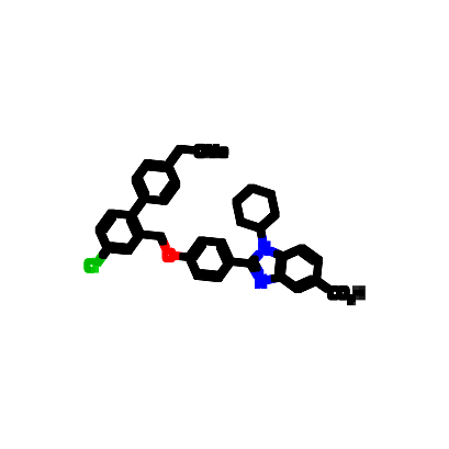 COCc1ccc(-c2ccc(Cl)cc2COc2ccc(-c3nc4cc(C(=O)O)ccc4n3C3CCCCC3)cc2)cc1